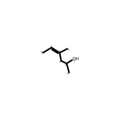 CC=C(C)CC(C)O